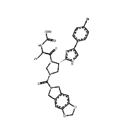 COC(=O)NC(C(=O)N1CN(C(=O)N2Cc3cc4c(cc3C2)OCO4)C[C@H]1c1nc(-c2ccc(Br)cc2)c[nH]1)C(C)C